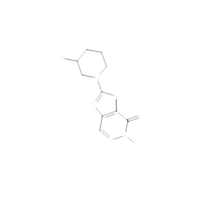 Cn1ncc2nc(N3CCCC(N)C3)[nH]c2c1=O